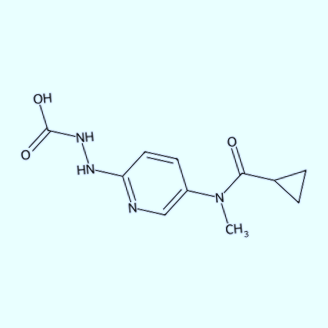 CN(C(=O)C1CC1)c1ccc(NNC(=O)O)nc1